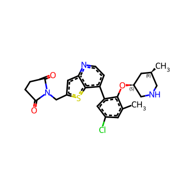 Cc1cc(Cl)cc(-c2ccnc3cc(CN4C(=O)CCC4=O)sc23)c1O[C@@H]1CNC[C@H](C)C1